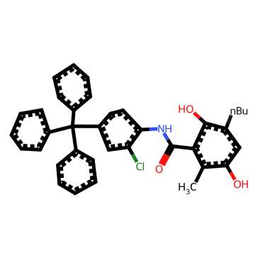 CCCCc1cc(O)c(C)c(C(=O)Nc2ccc(C(c3ccccc3)(c3ccccc3)c3ccccc3)cc2Cl)c1O